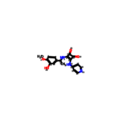 COc1ccc(C(C)Nc2c(Nc3ccncc3)c(=O)c2=O)cc1O